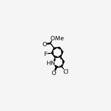 COC(=O)c1ccc2cc(Cl)c(=O)[nH]c2c1F